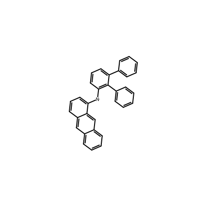 c1ccc(-c2cccc([N]c3cccc4cc5ccccc5cc34)c2-c2ccccc2)cc1